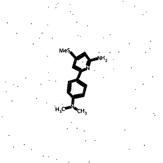 CSc1cc(N)nc(-c2ccc(N(C)C)cc2)c1